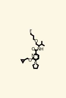 CC(C)C(COCCCF)NC(=O)c1ccc(N2CCCC2)c(OCC2CC2)n1